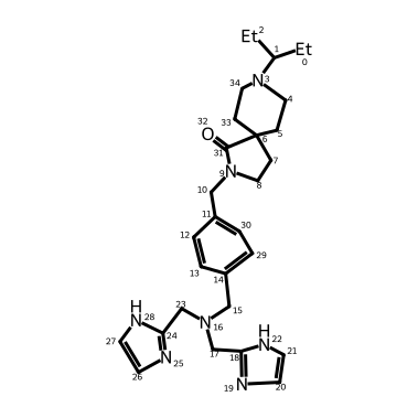 CCC(CC)N1CCC2(CCN(Cc3ccc(CN(Cc4ncc[nH]4)Cc4ncc[nH]4)cc3)C2=O)CC1